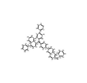 c1ccc(-c2ccc(N(c3ccc(-c4ccc5c(ccc6sc7ccccc7c65)c4)cc3)c3ccc(-c4ccccc4)c4ccccc34)cc2)cc1